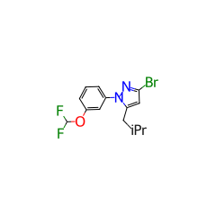 CC(C)Cc1cc(Br)nn1-c1cccc(OC(F)F)c1